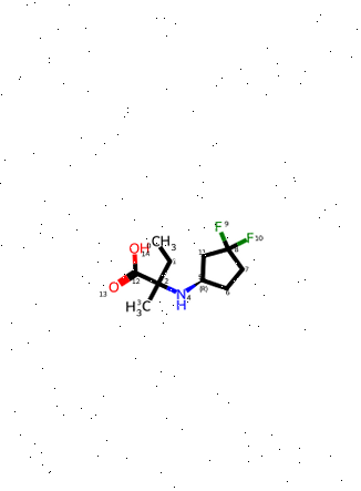 CCC(C)(N[C@@H]1CCC(F)(F)C1)C(=O)O